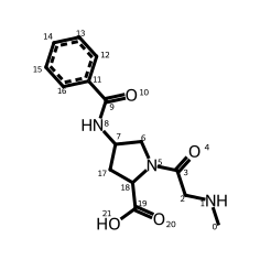 CNCC(=O)N1CC(NC(=O)c2ccccc2)CC1C(=O)O